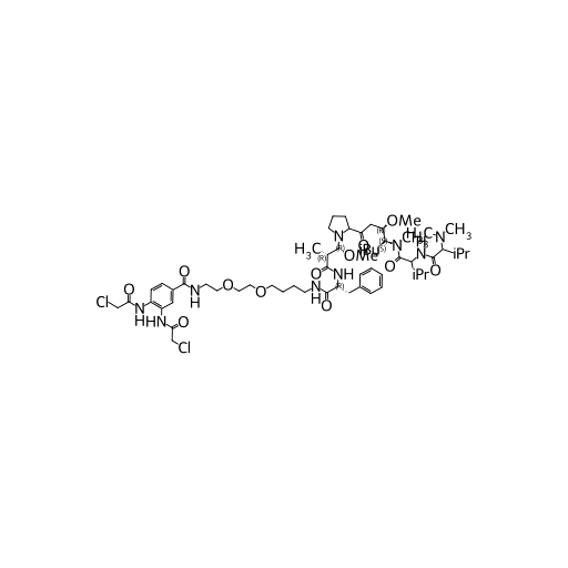 CC[C@H](C)[C@@H]([C@@H](CC(=O)C1CCCN1[C@H](OC)[C@@H](C)C(=O)N[C@H](Cc1ccccc1)C(=O)NCCCCOCCOCCNC(=O)c1ccc(NC(=O)CCl)c(NC(=O)CCl)c1)OC)N(C)C(=O)C(NC(=O)C(C(C)C)N(C)C)C(C)C